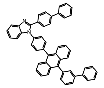 c1ccc(-c2ccc(-c3nc4ccccc4n3-c3ccc(-c4c5ccccc5c(-c5cccc(-c6ccccc6)c5)c5ccccc45)cc3)cc2)cc1